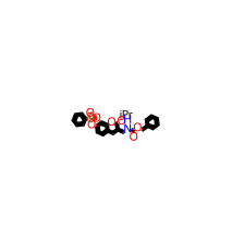 CC(C)OC(=O)C(CNC(=O)OCc1ccccc1)Cc1ccc(OS(=O)(=O)c2ccccc2)cc1